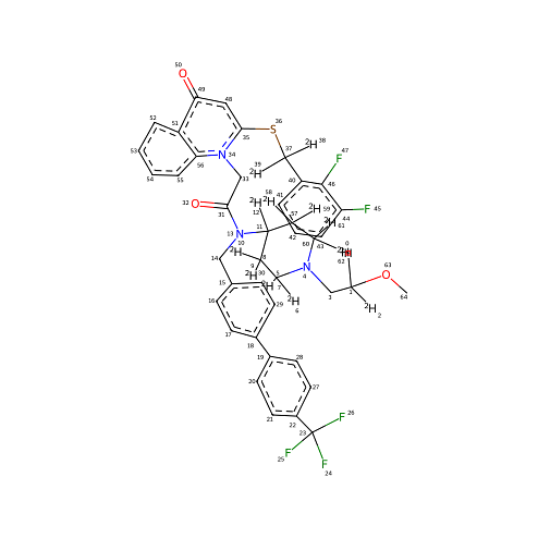 [2H]C([2H])(CN1C([2H])([2H])C([2H])([2H])C([2H])(N(Cc2ccc(-c3ccc(C(F)(F)F)cc3)cc2)C(=O)Cn2c(SC([2H])([2H])c3cccc(F)c3F)cc(=O)c3ccccc32)C([2H])([2H])C1([2H])[2H])OC